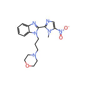 Cn1c([N+](=O)[O-])cnc1-c1nc2ccccc2n1CCCN1CCOCC1